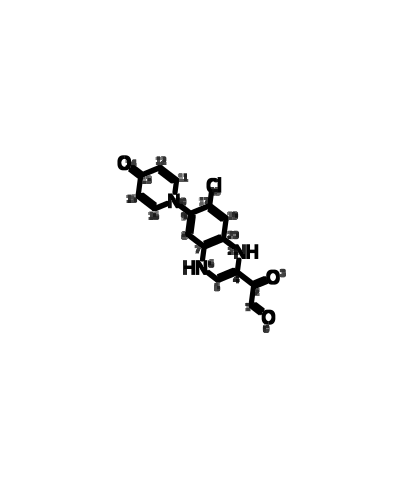 O=CC(=O)C1=CNc2cc(-n3ccc(=O)cc3)c(Cl)cc2N1